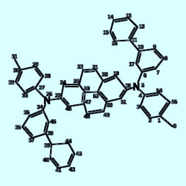 Cc1ccc(N(c2cccc(-c3ccccc3)c2)c2cc3ccc4cc(N(c5ccc(C)cc5)c5cccc(C6C=CC=CC6)c5)cc5ccc(c2)c3c45)cc1